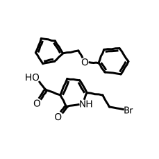 O=C(O)c1ccc(CCBr)[nH]c1=O.c1ccc(COc2ccccc2)cc1